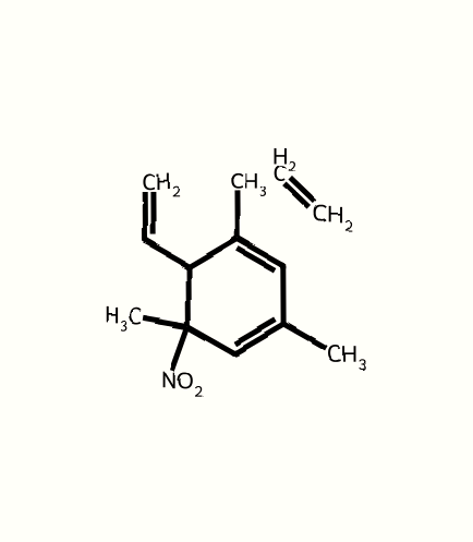 C=C.C=CC1C(C)=CC(C)=CC1(C)[N+](=O)[O-]